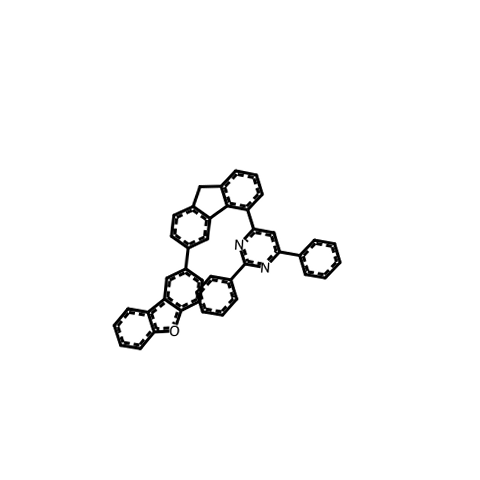 c1ccc(-c2cc(-c3cccc4c3-c3cc(-c5ccc6oc7ccccc7c6c5)ccc3C4)nc(-c3ccccc3)n2)cc1